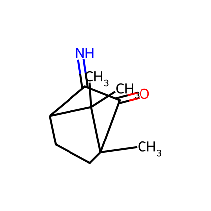 CC12CCC(C(=N)C1=O)C2(C)C